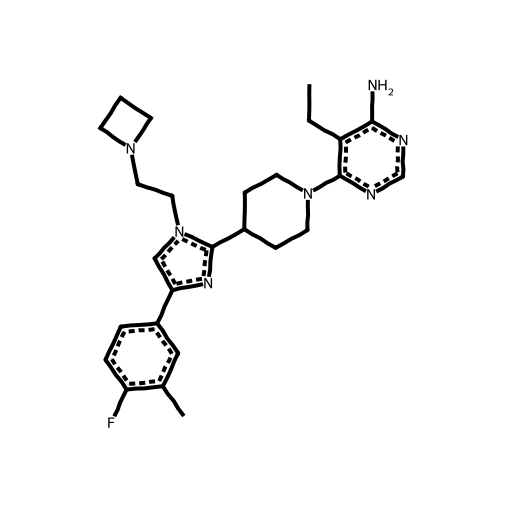 CCc1c(N)ncnc1N1CCC(c2nc(-c3ccc(F)c(C)c3)cn2CCN2CCC2)CC1